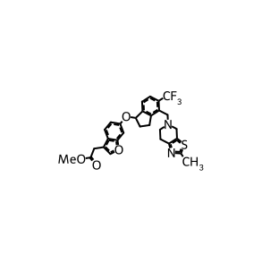 COC(=O)Cc1coc2cc(OC3CCc4c3ccc(C(F)(F)F)c4CN3CCc4nc(C)sc4C3)ccc12